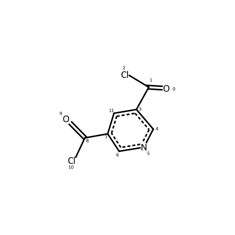 O=C(Cl)c1cncc(C(=O)Cl)c1